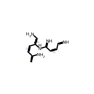 C=C(N)/C=C\C(=C/N)NC(=N)/C=C\C=N